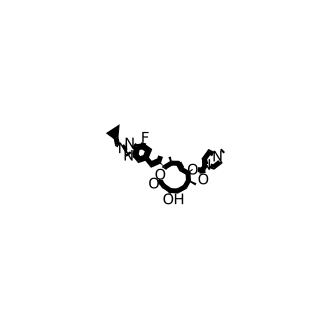 C/C(=C\c1cc(F)c2nn(CC3CC3)nc2c1)[C@H]1OC(=O)C[C@H](O)CC[C@H](C)[C@@H](OC(=O)N2CCN(C)CC2)/C=C/[C@@H]1C